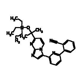 CC[Si](CC)(CC)OC(C)(C)c1ccn2c(-c3cccc(-c4ccccc4C#N)n3)cnc2n1